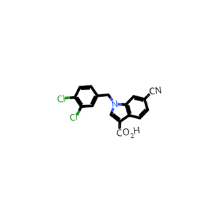 N#Cc1ccc2c(C(=O)O)cn(Cc3ccc(Cl)c(Cl)c3)c2c1